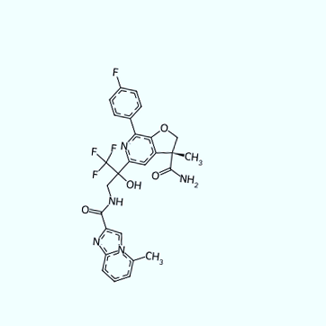 Cc1cccc2nc(C(=O)NCC(O)(c3cc4c(c(-c5ccc(F)cc5)n3)OC[C@]4(C)C(N)=O)C(F)(F)F)cn12